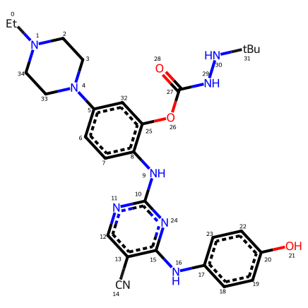 CCN1CCN(c2ccc(Nc3ncc(C#N)c(Nc4ccc(O)cc4)n3)c(OC(=O)NNC(C)(C)C)c2)CC1